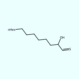 CCCCCCCCCCCCC(O)C=S